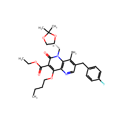 Bc1c(Cc2ccc(F)cc2)cnc2c(OCCCC)c(C(=O)OCC)c(=O)n(C[C@@H]3COC(C)(C)O3)c12